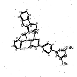 CC(C)c1cc(-c2ccc(-c3nc(C(C)(C)C)nc(C(C)(C)C)n3)cc2)cc(C(C)C)c1-n1c(-c2cccc3c2oc2ccccc23)nc2ccccc21